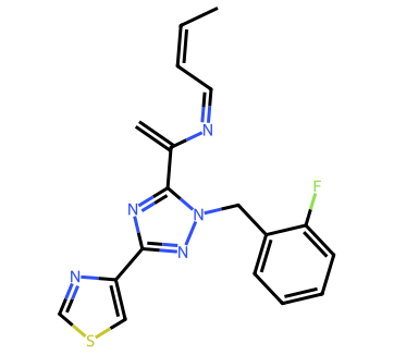 C=C(/N=C\C=C/C)c1nc(-c2cscn2)nn1Cc1ccccc1F